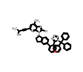 CCc1nc2c(C)cc(C#CC(C)O)nc2n1[C@H]1CCc2cc(-c3ccccc3-c3nnnn3C(c3ccccc3)(c3ccccc3)c3ccccc3)ccc21